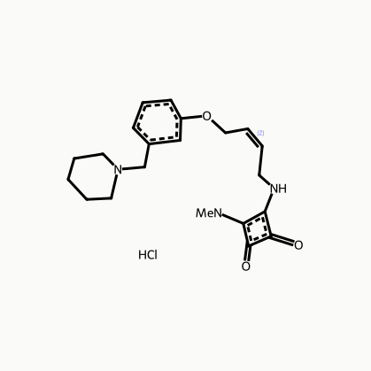 CNc1c(NC/C=C\COc2cccc(CN3CCCCC3)c2)c(=O)c1=O.Cl